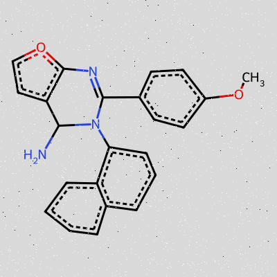 COc1ccc(C2=Nc3occc3C(N)N2c2cccc3ccccc23)cc1